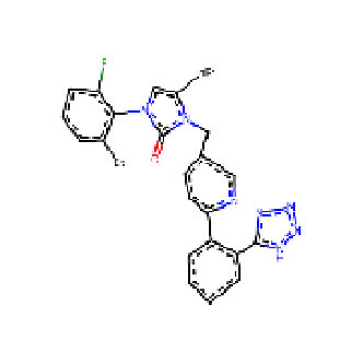 CCCc1cn(-c2c(F)cccc2CC)c(=O)n1Cc1ccc(-c2ccccc2-c2nnn[nH]2)nc1